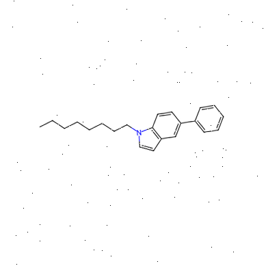 CCCCCCCCn1ccc2cc(-c3ccccc3)ccc21